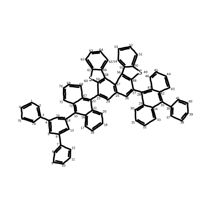 c1ccc(-c2cc(-c3ccccc3)cc(-c3c4ccccc4c(-c4cc5cc(-c6c7ccccc7c(-c7ccccc7)c7ccccc67)c6sc7ccccc7c6c5c5c4sc4ccccc45)c4ccccc34)c2)cc1